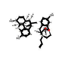 C=CCN1CC[C@]23CCCC[C@H]2[C@H]1Cc1ccc(O)cc13.CN1CC[C@]23c4c5ccc(O)c4O[C@H]2[C@@H](O)C=C[C@H]3[C@H]1C5